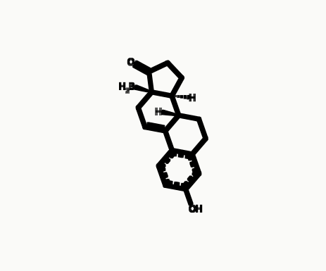 B[C@]12CC=C3c4ccc(O)cc4CC[C@H]3[C@@H]1CCC2=O